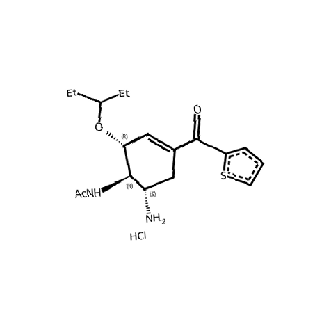 CCC(CC)O[C@@H]1C=C(C(=O)c2cccs2)C[C@H](N)[C@H]1NC(C)=O.Cl